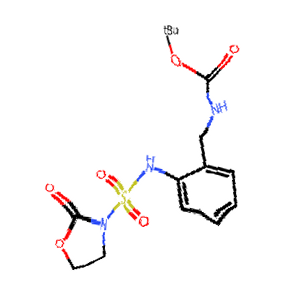 CC(C)(C)OC(=O)NCc1ccccc1NS(=O)(=O)N1CCOC1=O